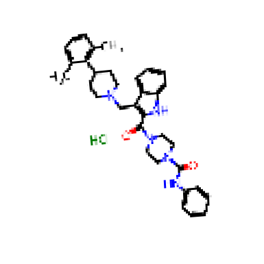 Cc1cccc(C)c1C1CCN(Cc2c(C(=O)N3CCN(C(=O)Nc4ccccc4)CC3)[nH]c3ccccc23)CC1.Cl